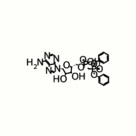 Nc1ncnc2c1ncn2[C@@H]1O[C@H](COP(=O)(O)CP(=O)(Oc2ccccc2)Oc2ccccc2)C(O)C1O